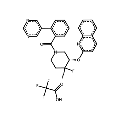 O=C(O)C(F)(F)F.O=C(c1ccccc1-c1cncnc1)N1CCC(F)(F)[C@@H](Oc2ccc3ccccc3n2)C1